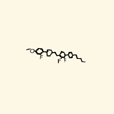 CCCCCc1ccc(-c2ccc(CCC3CC=C(c4ccc(OCC)cc4F)CC3)c(F)c2F)cc1